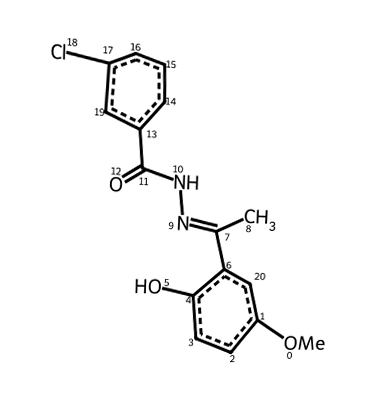 COc1ccc(O)c(/C(C)=N/NC(=O)c2cccc(Cl)c2)c1